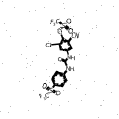 N#Cc1cc(NC(=O)Nc2ccc(S(=O)(=O)C(F)(F)F)cc2)cc(Cl)c1OS(=O)(=O)C(F)(F)F